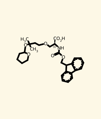 CC(C)(CCOC[C@H](NC(=O)OCC1c2ccccc2-c2ccccc21)C(=O)O)OC1CCCCO1